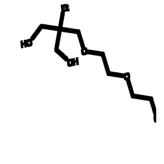 CCC(CO)(CO)COCCOCCO